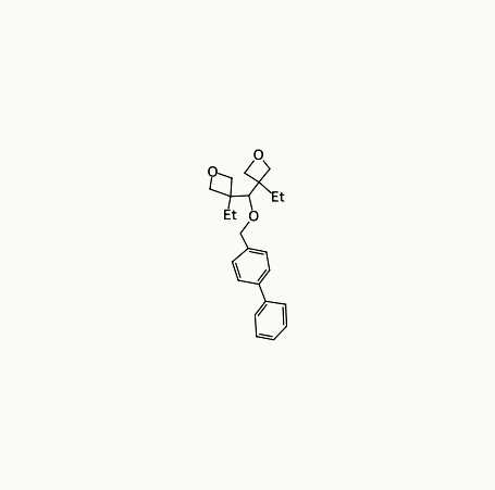 CCC1(C(OCc2ccc(-c3ccccc3)cc2)C2(CC)COC2)COC1